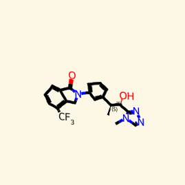 C[C@@H](c1cccc(N2Cc3c(cccc3C(F)(F)F)C2=O)c1)[C@H](O)c1nncn1C